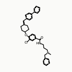 CN(CCCNC(=O)c1ccc(OC2CCC(=Cc3ccc(-c4ccccc4)cc3)CC2)c(Cl)c1)Cc1ccccc1